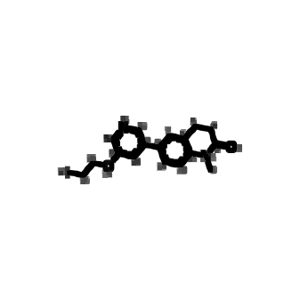 CN1C(=O)CCc2cc(-c3cncc(OCCI)c3)ccc21